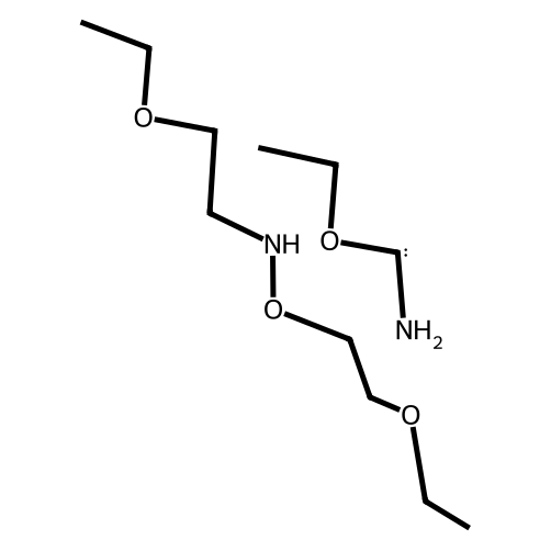 CCOCCNOCCOCC.CCO[C]N